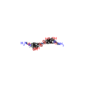 CC1(C)/C(=N/OCCN)CC[C@@]2(C)C1C(CO)C(O)[C@@H]1[C@H]2CC[C@]2(C)C(OC(=O)/C=C/C(=O)OC3CC[C@H]4[C@@H]5C(O)C(CO)C6C(C)(C)/C(=N/OCCN)CC[C@]6(C)[C@@H]5CC[C@]34C)CC[C@@H]12